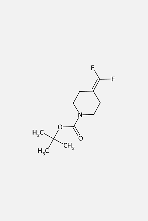 CC(C)(C)OC(=O)N1CCC(=C(F)F)CC1